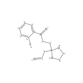 O=CCC1(CCC(=O)c2ccccc2F)OCCO1